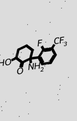 NC1(c2cccc(C(F)(F)F)c2F)CCCC(O)C1=O